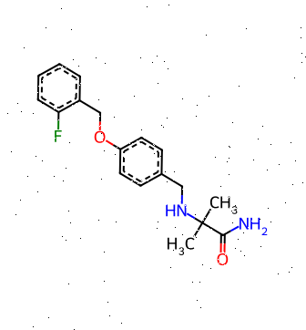 CC(C)(NCc1ccc(OCc2ccccc2F)cc1)C(N)=O